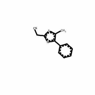 Cc1sc(CC#N)nc1-c1ccccc1